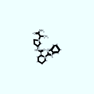 CC(C(N)=O)N1CC[C@H](NC(=O)[C@@H]2CCCCN2c2nc3ccccc3o2)C1